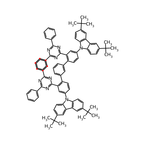 CC(C)(C)c1ccc2c(c1)c1cc(C(C)(C)C)ccc1n2-c1ccc(-c2cccc(-c3ccc(-n4c5ccc(C(C)(C)C)cc5c5cc(C(C)(C)C)ccc54)cc3-c3nc(-c4ccccc4)nc(-c4ccccc4)n3)c2)c(-c2nc(-c3ccccc3)nc(-c3ccccc3)n2)c1